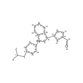 CC(C)Cc1ccc(-n2cc(-c3ccc(C=O)s3)c3ccccc32)cc1